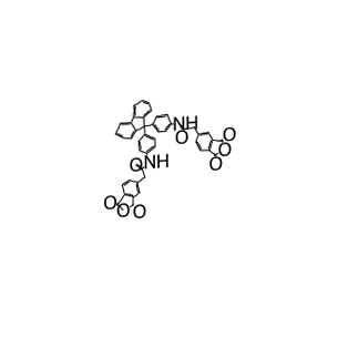 O=C(Cc1ccc2c(c1)C(=O)OC2=O)Nc1ccc(C2(c3ccc(NC(=O)Cc4ccc5c(c4)C(=O)OC5=O)cc3)c3ccccc3-c3ccccc32)cc1